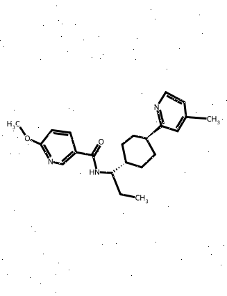 CCC(NC(=O)c1ccc(OC)nc1)[C@H]1CC[C@H](c2cc(C)ccn2)CC1